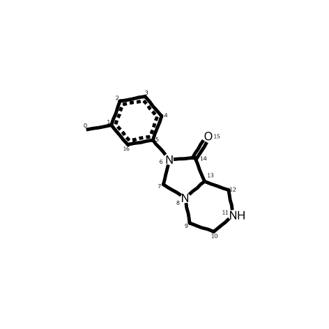 Cc1cccc(N2CN3CCNCC3C2=O)c1